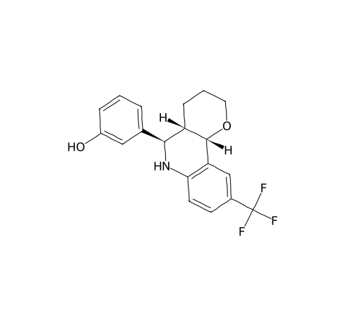 Oc1cccc([C@@H]2Nc3ccc(C(F)(F)F)cc3[C@H]3OCCC[C@H]32)c1